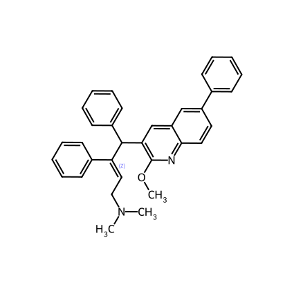 COc1nc2ccc(-c3ccccc3)cc2cc1C(/C(=C/CN(C)C)c1ccccc1)c1ccccc1